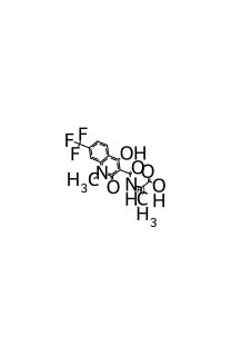 C[C@@H](NC(=O)c1c(O)c2ccc(C(F)(F)F)cc2n(C)c1=O)C(=O)O